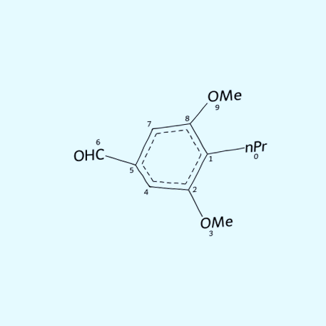 CCCc1c(OC)cc(C=O)cc1OC